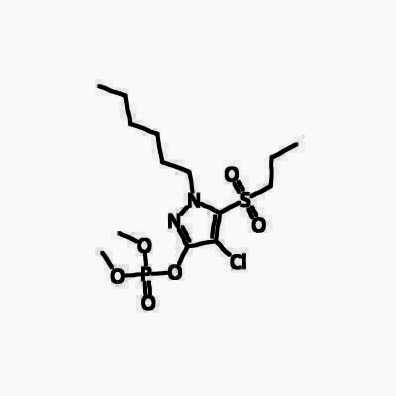 CCCCCCn1nc(OP(=O)(OC)OC)c(Cl)c1S(=O)(=O)CCC